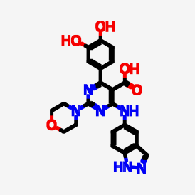 O=C(O)c1c(Nc2ccc3[nH]ncc3c2)nc(N2CCOCC2)nc1-c1ccc(O)c(O)c1